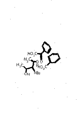 CCCCC(C(C)O)C(C)O.O=C(O)C(=O)c1ccccc1.O=C(O)c1ccccc1